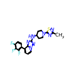 Cc1nsc(N2CCC(Nc3nc4c(-c5ccc(F)c(F)c5F)cccn4n3)CC2)n1